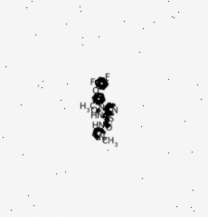 Cc1cc(Oc2ccc(F)cc2F)ccc1N1C(=O)Nc2c(C(=O)NC3CCCN(C)C3)sc3nccc1c23